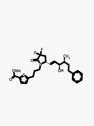 COC(=O)c1ccc(CCCN2C(=O)C(F)(F)C[C@@H]2C=C[C@H](O)[C@@H](C)CCc2ccccc2)s1